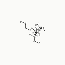 CCC[CH]CCCC.CN.CN.CN